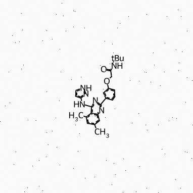 Cc1cc(C)c2c(Nc3cc[nH]n3)nc(-c3cccc(OCC(=O)NC(C)(C)C)c3)nc2c1